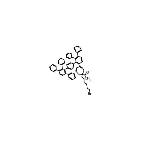 CC(=O)C1(CCCCCCBr)CC=CC(c2ccc(-c3ccccc3)c(-c3ccccc3)c2-c2ccc(-c3c(-c4ccccc4)ccc(-c4ccccc4)c3C3=CCCC=C3)cc2)=CC1